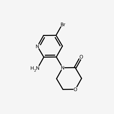 Nc1ncc(Br)cc1N1CCOCC1=O